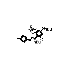 CCCCOc1cc(OCCCC)c(C(=O)CCc2ccc(C)cc2)c(OP(=O)(O)F)c1